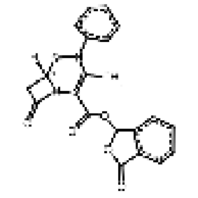 CC1=C(C(=O)OC2OC(=O)c3ccccc32)N2C(=O)C[C@@H]2SN1c1ccccc1